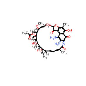 CO[C@H]1/C=C/O[C@@]2(C)Oc3c(C)c(O)c4c(c3C2=O)C(N)=C(N)C(=NC(=O)/C(C)=C/C=C/[C@H](C)[C@H](O)[C@@H](C)[C@@H](O)[C@@H](C)[C@H](OC(C)=O)[C@@H]1C)C4=O